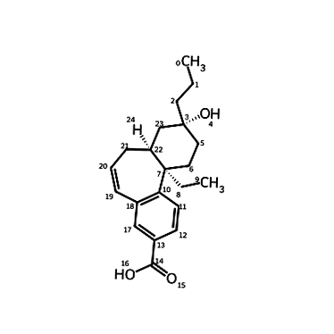 CCC[C@@]1(O)CC[C@@]2(CC)c3ccc(C(=O)O)cc3C=CC[C@H]2C1